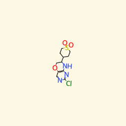 O=S1(=O)CCC(C2COc3cnc(Cl)nc3N2)CC1